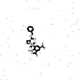 O=C(OCc1ccccc1)[C@@H]1CCN1S(=O)(=O)c1cc(C(F)F)cc2c(F)n[nH]c12